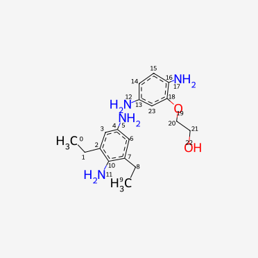 CCc1cc(N)cc(CC)c1N.Nc1ccc(N)c(OCCO)c1